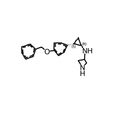 c1ccc(COc2ccc([C@@H]3C[C@H]3NC3CNC3)cc2)cc1